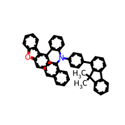 CC1(C)c2ccccc2-c2cccc(-c3ccc(N(c4ccccc4-c4cccc5oc6ccccc6c45)c4cccc5ccccc45)cc3)c21